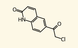 O=C(CCl)c1ccc2[nH]c(=O)ccc2c1